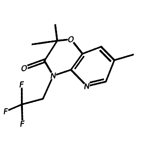 Cc1cnc2c(c1)OC(C)(C)C(=O)N2CC(F)(F)F